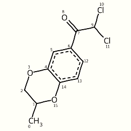 CC1COc2cc(C(=O)C(Cl)Cl)ccc2O1